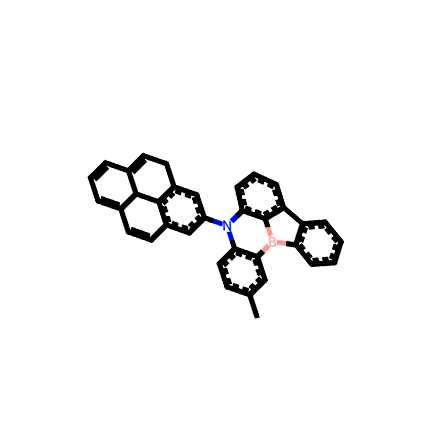 Cc1ccc2c(c1)B1c3ccccc3-c3cccc(c31)N2c1cc2c3c(c1)CC=C1C=CC=C(C=C2)C13